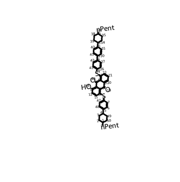 CCCCCC1CCC(c2ccc(Sc3ccc(O)c4c3C(=O)c3cccc(Sc5ccc(-c6ccc(C7CCC(CCCCC)CC7)cc6)cc5)c3C4=O)cc2)CC1